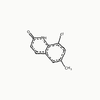 Cc1cc(Cl)c2[nH]c(=O)ccc2c1